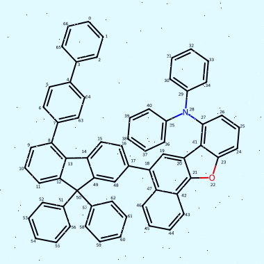 c1ccc(-c2ccc(-c3cccc4c3-c3ccc(-c5cc6c(oc7cccc(N(c8ccccc8)c8ccccc8)c76)c6ccccc56)cc3C4(c3ccccc3)c3ccccc3)cc2)cc1